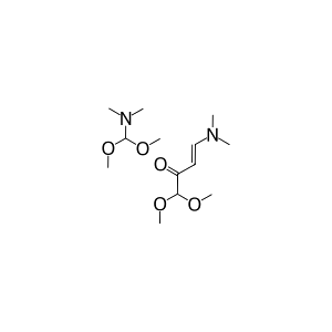 COC(OC)C(=O)C=CN(C)C.COC(OC)N(C)C